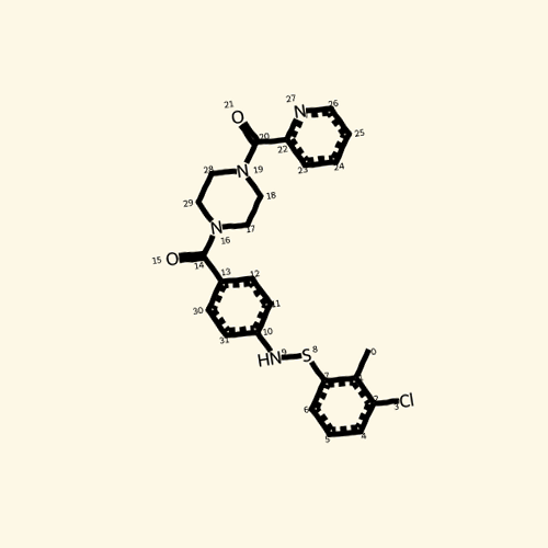 Cc1c(Cl)cccc1SNc1ccc(C(=O)N2CCN(C(=O)c3ccccn3)CC2)cc1